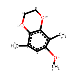 COc1cc(C)c2c(c1C)OCCO2